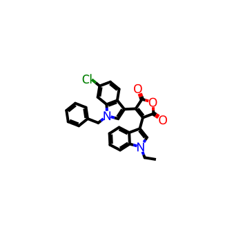 CCn1cc(C2=C(c3cn(Cc4ccccc4)c4cc(Cl)ccc34)C(=O)OC2=O)c2ccccc21